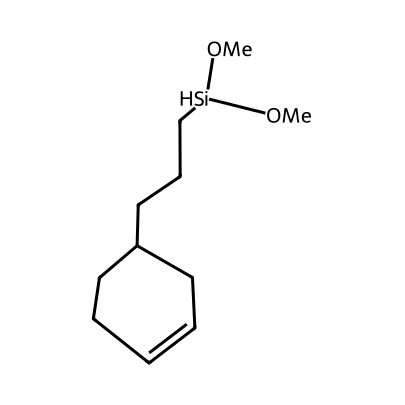 CO[SiH](CCCC1CC=CCC1)OC